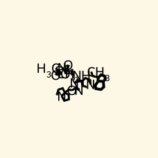 CCc1cccc2cccc(N3CCc4c(nc(OCC56CCCN5CCC6)nc4NCCS(=O)(=O)N=S(C)(C)=O)C3)c12